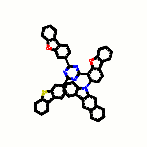 c1ccc2cc3c(cc2c1)c1ccccc1n3-c1ccc2c(oc3ccccc32)c1-c1nc(-c2ccc3c(c2)oc2ccccc23)nc(-c2ccc3c(c2)sc2ccccc23)n1